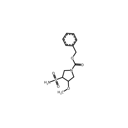 COC1CN(C(=O)OCc2ccccc2)CC1S(N)(=O)=O